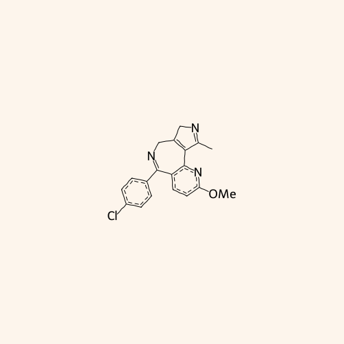 COc1ccc2c(n1)C1=C(CN=C1C)CN=C2c1ccc(Cl)cc1